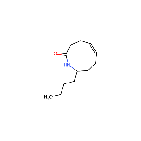 CCCCC1CCC=CCCC(=O)N1